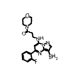 Bc1cnn2c(NCCC(=O)N3CCOCC3)cc(-c3ccccc3F)nc12